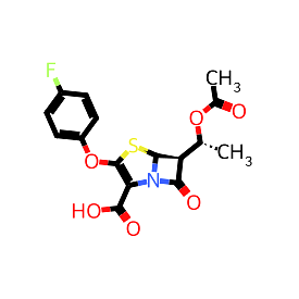 CC(=O)O[C@H](C)[C@H]1C(=O)N2C(C(=O)O)=C(Oc3ccc(F)cc3)SC12